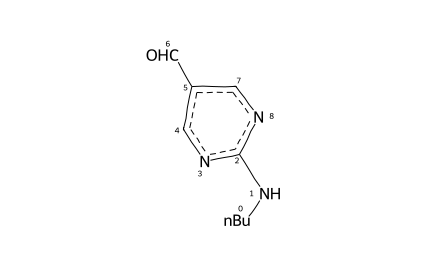 CCCCNc1ncc(C=O)cn1